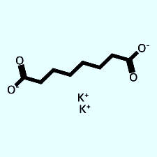 O=C([O-])CCCCCCC(=O)[O-].[K+].[K+]